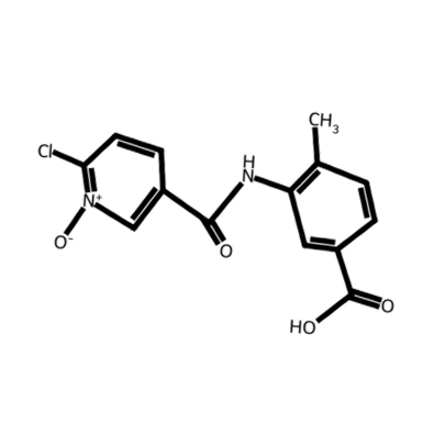 Cc1ccc(C(=O)O)cc1NC(=O)c1ccc(Cl)[n+]([O-])c1